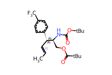 C/C=C/[C@H](c1ccc(C(F)(F)F)cc1)[C@H](COC(=O)C(C)(C)C)NC(=O)OC(C)(C)C